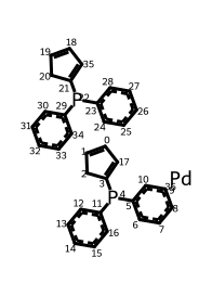 C1=CCC(P(c2ccccc2)c2ccccc2)=C1.C1=CCC(P(c2ccccc2)c2ccccc2)=C1.[Pd]